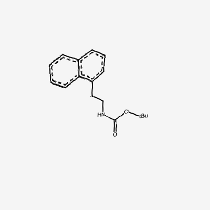 CC(C)(C)OC(=O)NC[CH]c1cccc2ccccc12